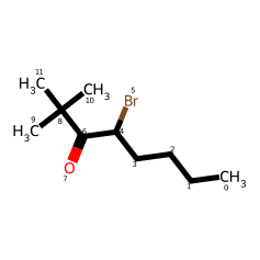 CCCCC(Br)C(=O)C(C)(C)C